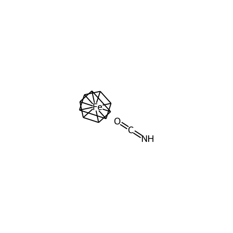 N=C=O.[CH]12[CH]3[CH]4[CH]5[CH]1[Fe]23451678[CH]2[CH]1[CH]6[CH]7[CH]28